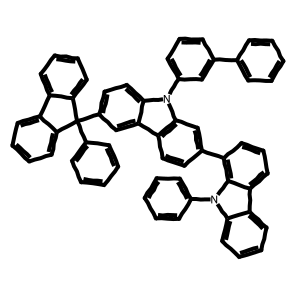 c1ccc(-c2cccc(-n3c4ccc(C5(c6ccccc6)c6ccccc6-c6ccccc65)cc4c4ccc(-c5cccc6c7ccccc7n(-c7ccccc7)c56)cc43)c2)cc1